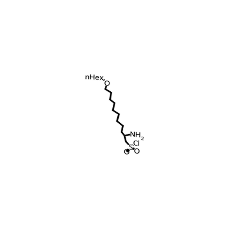 CCCCCCOCCCCCCCCCC(N)CS(=O)(=O)Cl